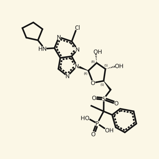 CC(c1ccccc1)(P(=O)(O)O)S(=O)(=O)C[C@H]1O[C@@H](n2ncc3c(NC4CCCC4)nc(Cl)nc32)[C@H](O)[C@@H]1O